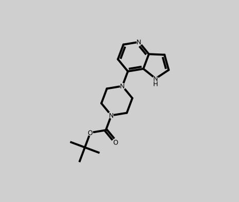 CC(C)(C)OC(=O)N1CCN(c2ccnc3cc[nH]c23)CC1